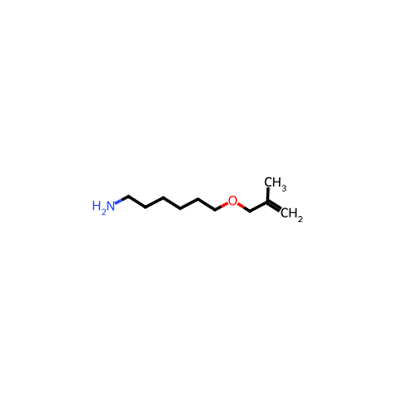 C=C(C)COCCCCCCN